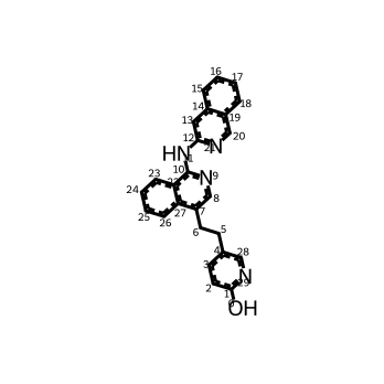 Oc1ccc(CCc2cnc(Nc3cc4ccccc4cn3)c3ccccc23)cn1